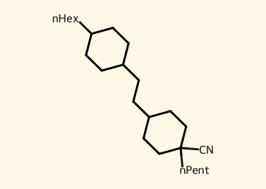 CCCCCCC1CCC(CCC2CCC(C#N)(CCCCC)CC2)CC1